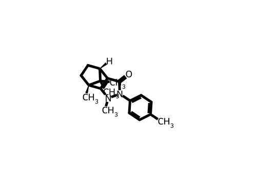 Cc1ccc(-n2c(=O)c3c(n2C)[C@]2(C)CC[C@H]3C2(C)C)cc1